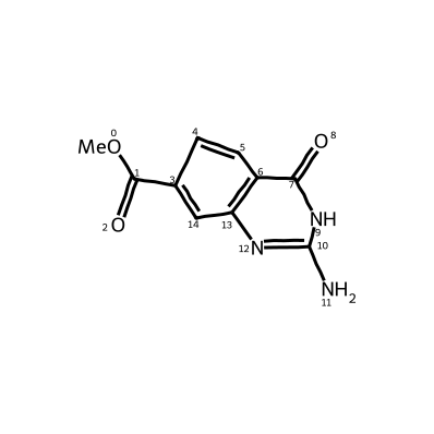 COC(=O)c1ccc2c(=O)[nH]c(N)nc2c1